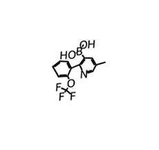 Cc1cnc(-c2ccccc2OC(F)(F)F)c(B(O)O)c1